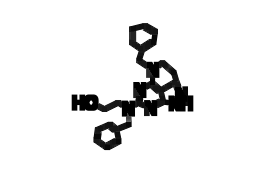 OCCN(Cc1ccccc1)c1nc2c3c(n[nH]c3n1)CCN2Cc1ccccc1